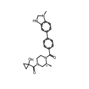 C[C@H]1CN(C(=O)C2(O)CC2)CCN1C(=O)c1ccc(-c2ccc3c(c2)NCN3C)cc1